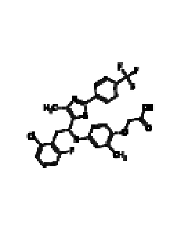 Cc1cc(SC(Cc2c(F)cccc2Cl)c2sc(-c3ccc(C(F)(F)F)cc3)nc2C)ccc1OCC(=O)O